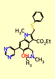 CCOC(=O)c1c(CSc2ccccc2)n(C)c2cc(-c3cncnc3)c(O)c(CN(C)C)c12